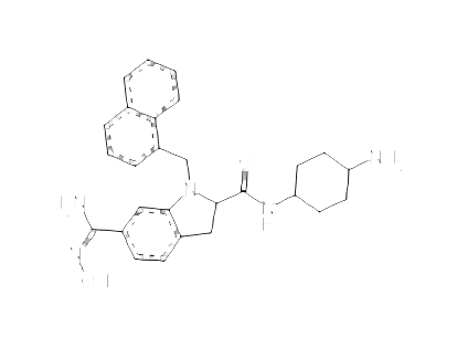 N/C(=N/O)c1ccc2c(c1)N(Cc1cccc3ccccc13)C(C(=O)NC1CCC(N)CC1)C2